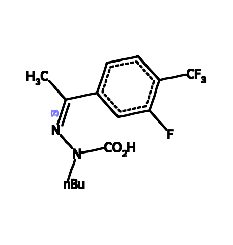 CCCCN(/N=C(/C)c1ccc(C(F)(F)F)c(F)c1)C(=O)O